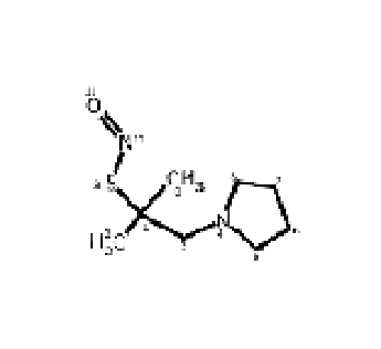 CC(C)(CN1[CH]CCC1)SN=O